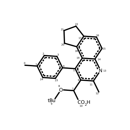 Cc1ccc(-c2c(C(OC(C)(C)C)C(=O)O)c(C)nc3ccc4c(c23)CCC4)cc1